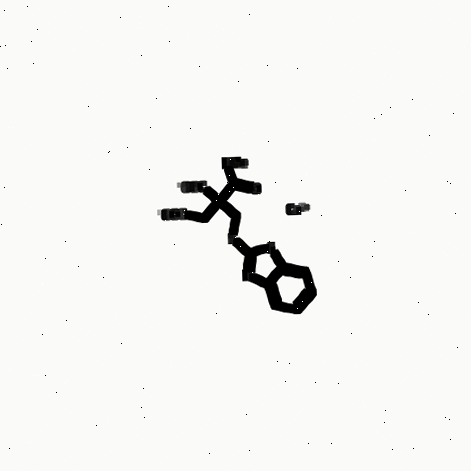 CNC(=O)C(CSc1nc2ccccc2s1)(CC(=O)[O-])C(=O)[O-].[Ca+2]